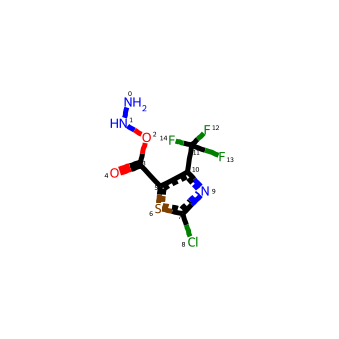 NNOC(=O)c1sc(Cl)nc1C(F)(F)F